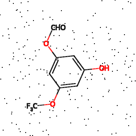 O=COc1cc(O)cc(OC(F)(F)F)c1